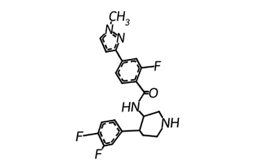 Cn1ccc(-c2ccc(C(=O)NC3CNCCC3c3ccc(F)c(F)c3)c(F)c2)n1